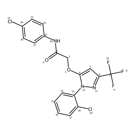 O=C(COc1cc(C(F)(F)F)nn1-c1ccccc1Cl)Nc1ccc(Cl)cc1